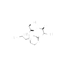 C=CC(=O)N[N+]1(CCC)CCOCC1.CC(O)C(=O)[O-]